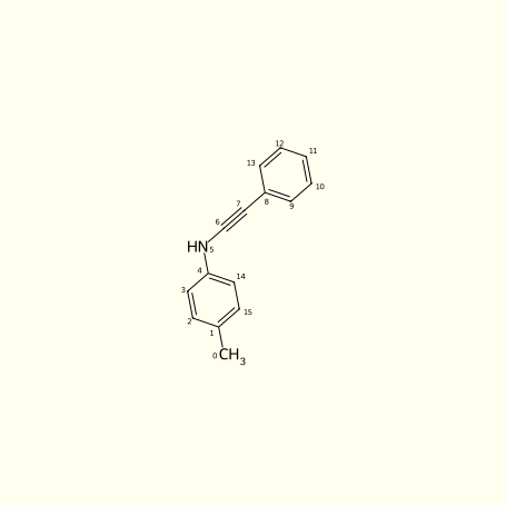 Cc1ccc(NC#Cc2ccccc2)cc1